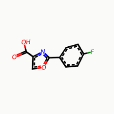 O=C(O)c1coc(-c2ccc(F)cc2)n1